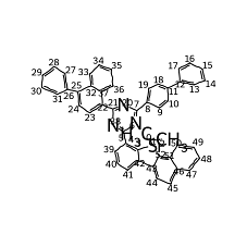 C[Si]1(C)c2c(-c3nc(-c4ccc(-c5ccccc5)cc4)nc(-c4ccc(-c5ccccc5)c5ccccc45)n3)cccc2-c2ccc3ccccc3c21